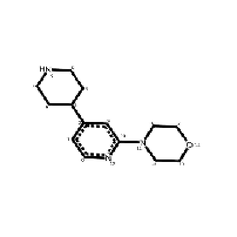 c1cc(C2CCNCC2)cc(N2CCOCC2)n1